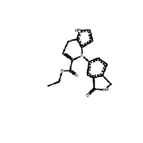 CCOC(=O)C1=CCc2[nH]ccc2N1c1ccc2c(c1)C(=O)NC2